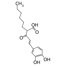 CCCCCCC(C(=O)O)C(=O)/C=C/c1ccc(O)c(O)c1